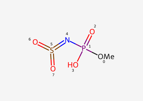 COP(=O)(O)N=S(=O)=O